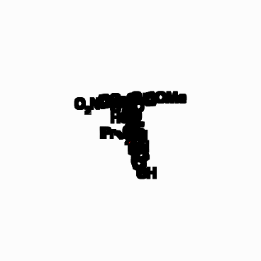 COc1ccc(C(=O)OC2C(OC3C(O)COC(O[C@H]4C[C@H]5[C@@H]6CC=C7C[C@@H](O)CC[C@]7(C)C6CC[C@]5(C)[C@@]4(O)[C@H](C)C(=O)CCC(C)C)C3C)OCC(OC(=O)Oc3ccc([N+](=O)[O-])cc3)C2O)cc1